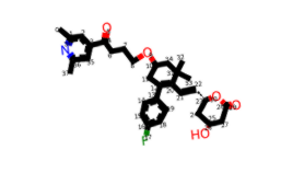 Cc1cc(C(=O)CCCOC2CC(c3ccc(F)cc3)=C(C=C[C@H]3C[C@H](O)CC(=O)O3)C(C)(C)C2)cc(C)n1